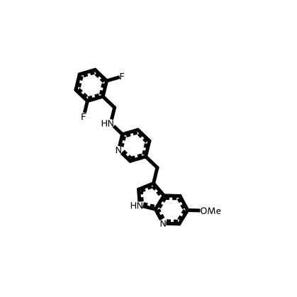 COc1cnc2[nH]cc(Cc3ccc(NCc4c(F)cccc4F)nc3)c2c1